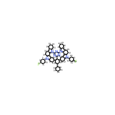 Fc1ccc(-n2c3ccccc3c3c2ccc2c4ccccc4n(-c4nc(-c5ccc(-c6ccccc6)cc5)nc(-n5c6ccccc6c6ccc7c(c8ccccc8n7-c7ccc(F)cc7)c65)n4)c23)cc1